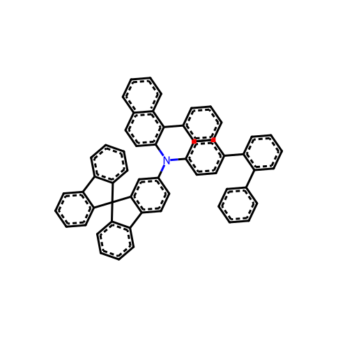 c1ccc(-c2ccccc2-c2ccc(N(c3ccc4c(c3)C3(c5ccccc5-c5ccccc53)c3ccccc3-4)c3ccc4ccccc4c3-c3ccccc3)cc2)cc1